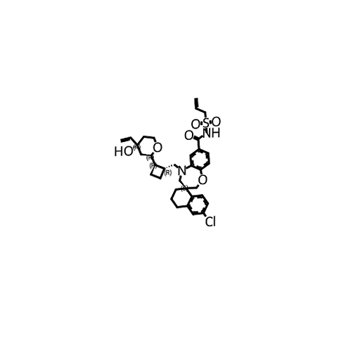 C=CCS(=O)(=O)NC(=O)c1ccc2c(c1)N(C[C@@H]1CC[C@H]1[C@H]1C[C@@](O)(C=C)CCO1)C[C@@]1(CCCc3cc(Cl)ccc31)CO2